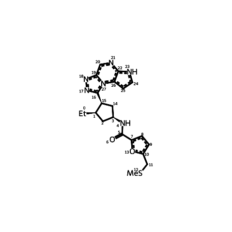 CC[C@@H]1C[C@H](NC(=O)c2ccc(CSC)o2)C[C@@H]1c1nnc2cnc3[nH]ccc3n12